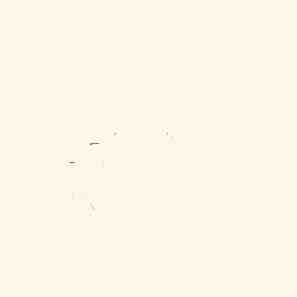 C[C@@]12CCC[C@H]1[C@@H]1CC=C3C=C(C(=O)O)C(C(=O)Nc4cc(C(F)(F)F)cc(C(F)(F)F)c4)C[C@]3(C)[C@H]1CC2